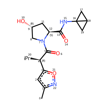 Cc1cc([C@H](C(=O)N2C[C@H](O)C[C@H]2C(=O)NC23CC2C3)C(C)C)on1